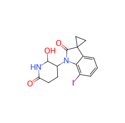 O=C1CCC(N2C(=O)C3(CC3)c3cccc(I)c32)C(O)N1